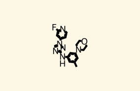 Cc1cc(Nc2ncn(-c3ccnc(F)c3)n2)cc(N2CCOCC2)c1